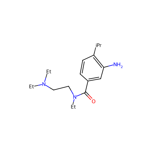 CCN(CC)CCN(CC)C(=O)c1ccc(C(C)C)c(N)c1